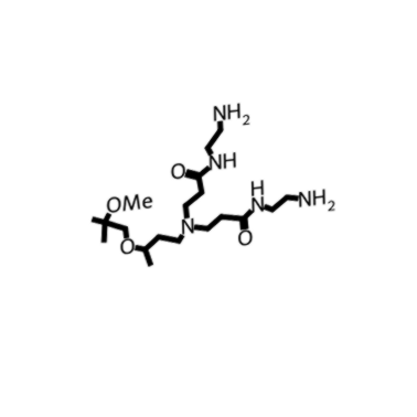 COC(C)(C)COC(C)CCN(CCC(=O)NCCN)CCC(=O)NCCN